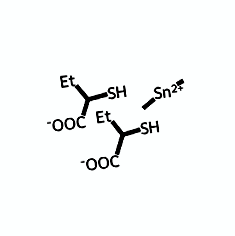 CCC(S)C(=O)[O-].CCC(S)C(=O)[O-].[CH3][Sn+2][CH3]